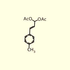 CC(=O)OC(/C=C/c1ccc(C)cc1)OC(C)=O